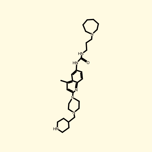 Cc1cc(N2CCN(CC3CCNCC3)CC2)nc2ccc(NC(=O)NCCCN3CCCCCC3)cc12